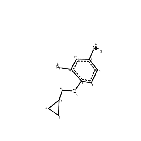 Nc1ccc(OCC2CC2)c(Br)c1